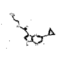 N#CCCNC(=O)c1c[nH]c2ncc(C3CC3)nc12